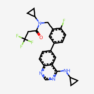 O=C(CC(F)(F)F)N(Cc1cc(-c2ccc3ncnc(NC4CC4)c3c2)ccc1F)C1CC1